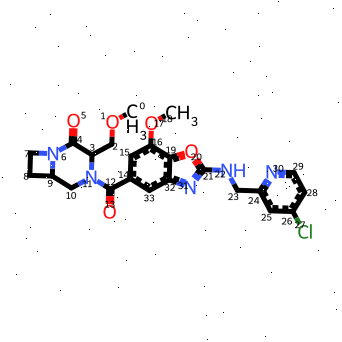 COCC1C(=O)N2CCC2CN1C(=O)c1cc(OC)c2oc(NCc3cc(Cl)ccn3)nc2c1